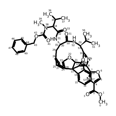 COC(=O)c1coc(-c2nc3oc2C24c5ccccc5NC2Oc2ccc(cc24)C[C@H](NC(=O)C(C(C)C)N(C)C(=O)OCc2ccccc2)C(=O)N[C@H]3C(C)C)n1